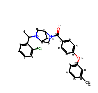 CC(c1ccccc1Cl)N1CC2CC1CN2C(=O)c1ccc(Oc2cccc(C#N)c2)cc1